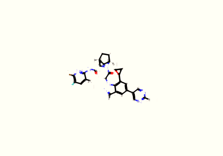 CC(=O)c1nn(CC(=O)N2[C@H]3CC[C@H](C3)[C@H]2C(=O)Nc2nc(Br)c(F)cc2C)c2c(C3CC3)cc(-c3cnc(C)nc3)cc12